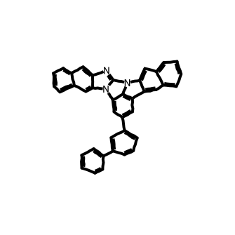 c1ccc(-c2cccc(-c3cc4c5cc6ccccc6cc5n5c4c(c3)n3c4cc6ccccc6cc4nc35)c2)cc1